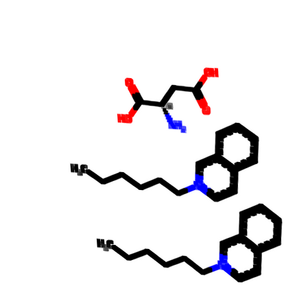 CCCCCC[n+]1ccc2ccccc2c1.CCCCCC[n+]1ccc2ccccc2c1.N[C@@H](CC(=O)O)C(=O)O